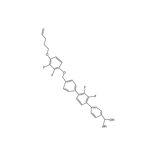 C=CCCCOc1ccc(OCc2ccc(-c3ccc(-c4ccc(C(O)CCC)cc4)c(F)c3F)cc2)c(F)c1F